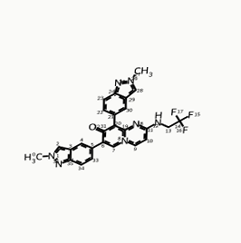 Cn1cc2cc(-c3cn4ccc(NCC(F)(F)F)nc4c(-c4ccc5nn(C)cc5c4)c3=O)ccc2n1